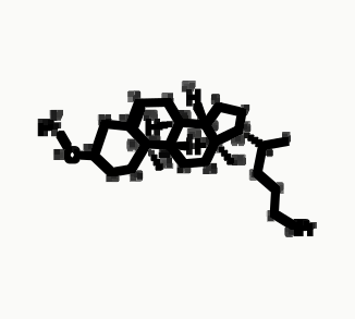 CC(C)CCCC(C)[C@H]1CC[C@H]2[C@@H]3CC=C4CC(OC(C)C)CC[C@]4(C)[C@H]3CC[C@]12C